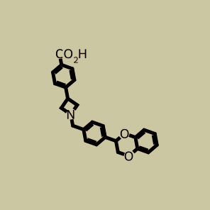 O=C(O)c1ccc(C2CN(Cc3ccc(C4COc5ccccc5O4)cc3)C2)cc1